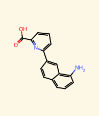 Nc1cccc2ccc(-c3cccc(C(=O)O)n3)cc12